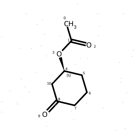 CC(=O)O[C@H]1CCCC(=O)C1